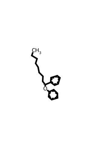 CCCCCCCC[C](Oc1ccccc1)c1ccccc1